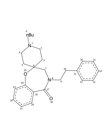 CCCCN1CCC2(CC1)CN(CCc1ccccc1)C(=O)c1ccccc1O2